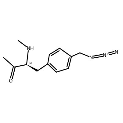 CN[C@@H](Cc1ccc(CN=[N+]=[N-])cc1)C(C)=O